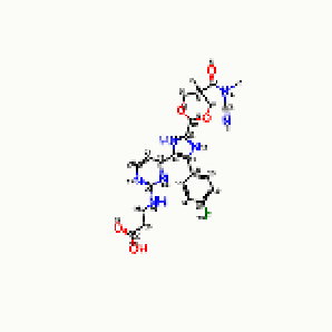 CN(C#N)C(=O)C1(C)COC(c2nc(-c3ccc(F)cc3)c(-c3ccnc(NCCC(=O)O)n3)[nH]2)OC1